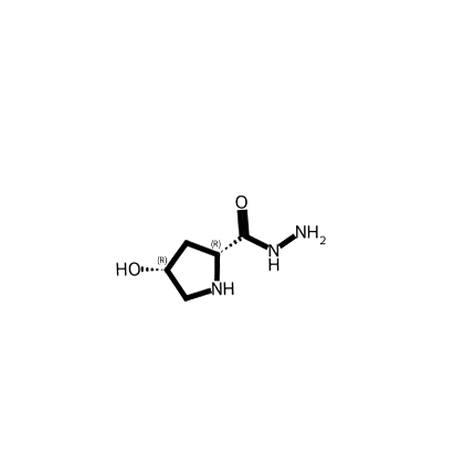 NNC(=O)[C@H]1C[C@@H](O)CN1